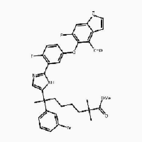 COC(=O)C(C)(C)CCCCC(C)(c1cccc(Br)c1)c1cnc(-c2cc(Oc3c(F)cc4[nH]ccc4c3C=O)ccc2F)[nH]1